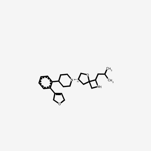 C[C](C)CC1NCC12C[C@H](N1CCC(c3ccccc3C3=CCOC3)CC1)CO2